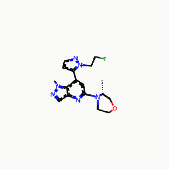 C[C@@H]1COCCN1c1cc(-c2ccnn2CCF)c2c(cnn2C)n1